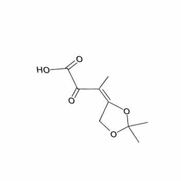 CC(C(=O)C(=O)O)=C1COC(C)(C)O1